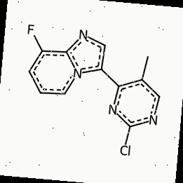 Cc1cnc(Cl)nc1-c1cnc2c(F)cccn12